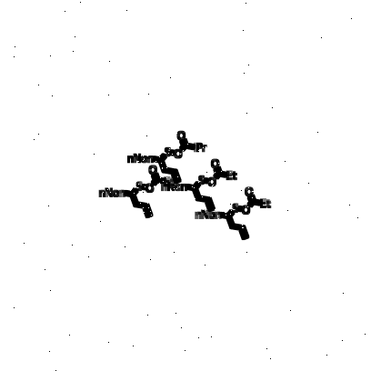 C=CCC(CCCCCCCCC)SOC(=O)C(C)C.C=CCC(CCCCCCCCC)SOC(=O)CC.C=CCC(CCCCCCCCC)SOC(=O)CC.C=CCC(CCCCCCCCC)SOC(=O)CC